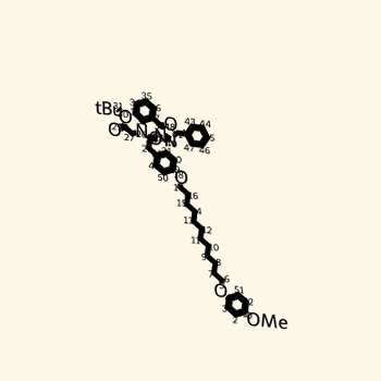 COc1ccc(OCCCCCCCCCCCCOc2ccc(CC(=O)N(CC(=O)OC(C)(C)C)c3ccccc3-c3nnc(-c4ccccc4)o3)cc2)cc1